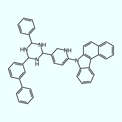 C1=C(C2NC(c3ccccc3)NC(c3cccc(-c4ccccc4)c3)N2)CNC(n2c3ccccc3c3c4ccccc4ccc32)=C1